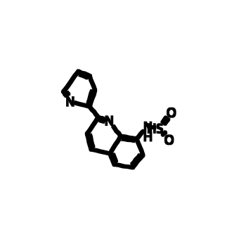 O=[SH](=O)Nc1cccc2ccc(-c3ccccn3)nc12